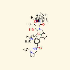 CCN1CCC[C@@H]1CNC(=O)c1cc(-c2cccc(CN3C[C@H](O)[C@@H]([C@H](C)O)[C@H]3C(=O)N[C@H]3C[C@H]4C[C@@H]([C@@H]3C)C4(C)C)c2OC)cc(N(C)C)c1